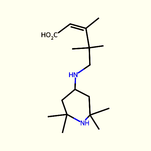 C/C(=C/C(=O)O)C(C)(C)CNC1CC(C)(C)NC(C)(C)C1